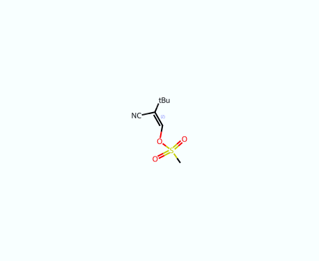 CC(C)(C)/C(C#N)=C/OS(C)(=O)=O